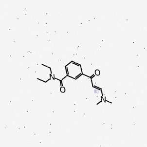 CCN(CC)C(=O)c1cccc(C(=O)/C=C/N(C)C)c1